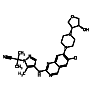 Cc1c(Nc2ncc3cc(Cl)c(N4CCN([C@H]5COC[C@H]5O)CC4)cc3n2)cnn1C(C)(C)C#N